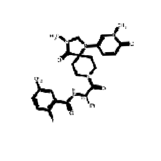 CC(C)[C@@H](NC(=O)c1cc(C(F)(F)F)ccc1F)C(=O)N1CCC2(CC1)C(=O)N(C)CN2c1ccc(=O)n(C)c1